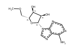 COC[C@H]1O[C@@H](n2cnc3c(N)ncnc32)[C@H](O)[C@@H]1O